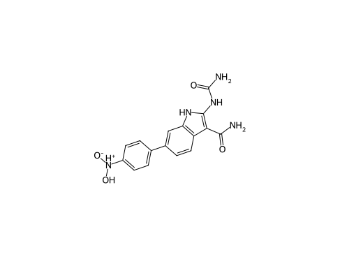 NC(=O)Nc1[nH]c2cc(-c3ccc([NH+]([O-])O)cc3)ccc2c1C(N)=O